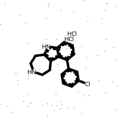 Cl.Cl.Clc1cccc(-c2cccc3[nH]c4c(c23)CCNCC4)c1